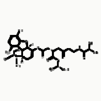 Cc1ccc(O)c2c1[C@]13CCN(C)[C@H](C)[C@]1(O)CC=C(OC(=O)C[C@H](CC(=O)CCNC(=O)[C@H](C)O)C(=O)O[C@@H](C)C(=O)O)[C@@H]3O2